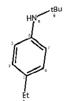 CCc1ccc(NC(C)(C)C)cc1